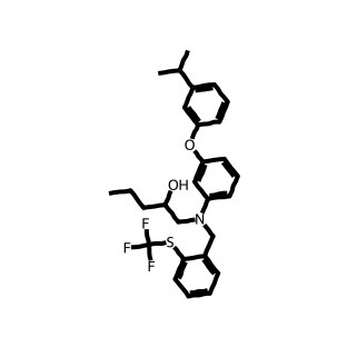 CCCC(O)CN(Cc1ccccc1SC(F)(F)F)c1cccc(Oc2cccc(C(C)C)c2)c1